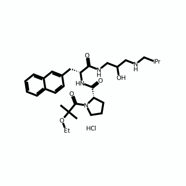 CCOC(C)(C)C(=O)N1CCC[C@H]1C(=O)N[C@H](Cc1ccc2ccccc2c1)C(=O)NCC(O)CNCC(C)C.Cl